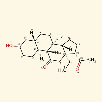 CC[C@]12CC(=O)[C@H]3[C@@H](CC[C@H]4C[C@@H](O)CC[C@@H]43)[C@@H]1CC[C@@H]2C(C)=O